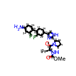 COC(=O)N[C@H](C(=O)N1CCC[C@H]1c1nc(-c2ccc(-c3ccc(N)cc3F)c(F)c2)c[nH]1)C(C)C